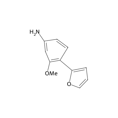 COc1cc(N)ccc1-c1ccco1